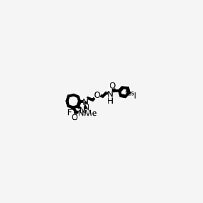 CNC(=O)C1(F)CCCCCc2c1nnn2CCOCCNC(=O)c1ccc([125I])cc1